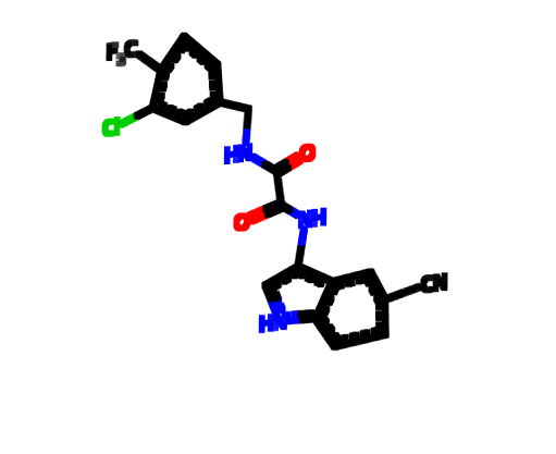 N#Cc1ccc2[nH]cc(NC(=O)C(=O)NCc3ccc(C(F)(F)F)c(Cl)c3)c2c1